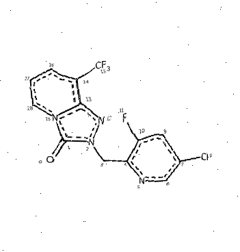 O=c1n(Cc2ncc(Cl)cc2F)nc2c(C(F)(F)F)cccn12